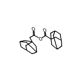 O=C(CC12CC3CC(CC(C3)C1)C2)OC(=O)C12CC3CC(CC(C3)C1)C2